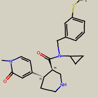 Cn1ccc([C@H]2CCNC[C@@H]2C(=O)N(Cc2cccc(SC(F)(F)F)c2)C2CC2)cc1=O